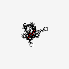 ClC=CCCOc1ccccc1C1=CC2=CC3=NC(=CC4=NC(=CC5=NC(=C(c6ccccc6OCCC=CCl)C1=N2)C(c1ccccc1OCCC=CCl)=C5c1ccccc1OCCC=CCl)C=C4)C=C3.[Cu]